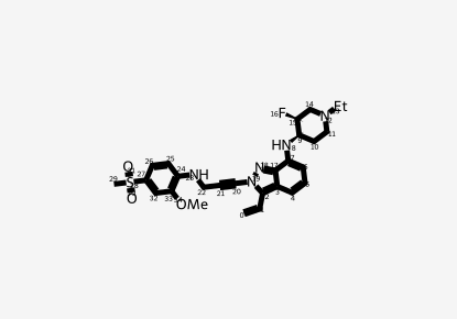 C=Cc1c2cccc(N[C@@H]3CCN(CC)C[C@@H]3F)c2nn1C#CCNc1ccc(S(C)(=O)=O)cc1OC